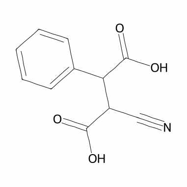 N#CC(C(=O)O)C(C(=O)O)c1ccccc1